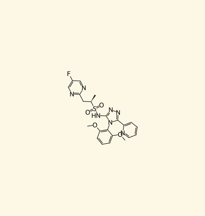 COc1cccc(OC)c1-n1c(NS(=O)(=O)[C@H](C)Cc2ncc(F)cn2)nnc1-c1ccccn1